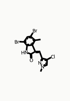 Cc1c(Br)cc(Br)c2c1C(=Cc1nn(C)cc1Cl)C(=O)N2